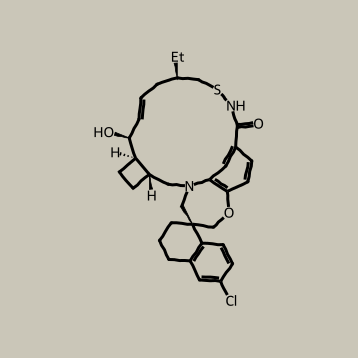 CC[C@@H]1C/C=C/[C@H](O)[C@@H]2CC[C@H]2CN2C[C@@]3(CCCc4cc(Cl)ccc43)COc3ccc(cc32)C(=O)NSC1